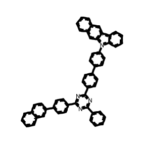 c1ccc(-c2nc(-c3ccc(-c4ccc(-n5c6ccccc6c6cc7ccccc7cc65)cc4)cc3)nc(-c3ccc(-c4ccc5ccccc5c4)cc3)n2)cc1